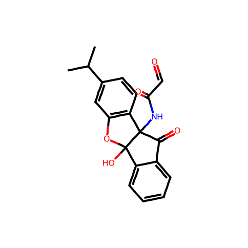 CC(C)c1ccc2c(c1)OC1(O)c3ccccc3C(=O)C21NC(=O)C=O